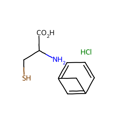 Cl.NC(CS)C(=O)O.c1cc2cc(c1)C2